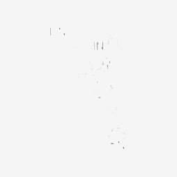 O=C(NO)C1(S(=O)(=O)c2ccc(OCc3ccncc3)cc2)CCC2(CCNCC2)C1